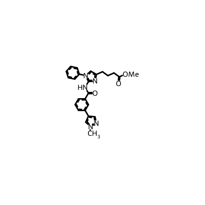 COC(=O)CCCc1cn(-c2ccccc2)c(NC(=O)c2cccc(-c3cnn(C)c3)c2)n1